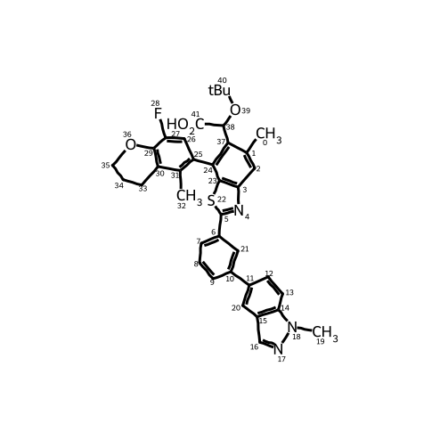 Cc1cc2nc(-c3cccc(-c4ccc5c(cnn5C)c4)c3)sc2c(-c2cc(F)c3c(c2C)CCCO3)c1C(OC(C)(C)C)C(=O)O